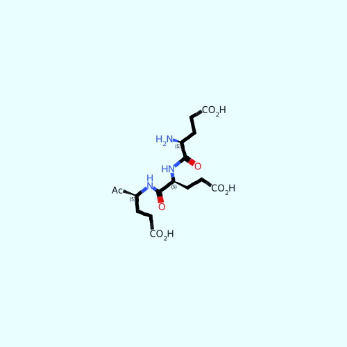 CC(=O)[C@H](CCC(=O)O)NC(=O)[C@H](CCC(=O)O)NC(=O)[C@@H](N)CCC(=O)O